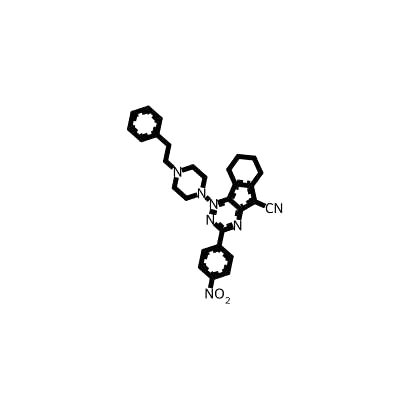 N#Cc1c2nc(-c3ccc([N+](=O)[O-])cc3)nn(N3CCN(CCc4ccccc4)CC3)c-2c2c1CCCC2